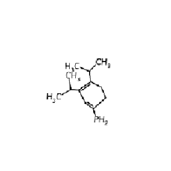 CC(C)C1=C(C(C)C)CCC(P)=C1